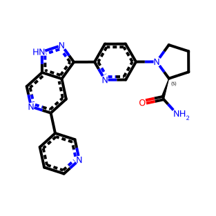 NC(=O)[C@@H]1CCCN1c1ccc(-c2n[nH]c3cnc(-c4cccnc4)cc23)nc1